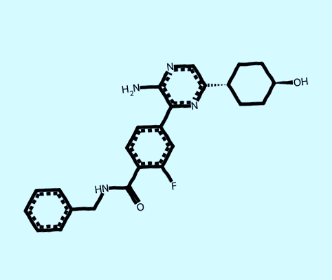 Nc1ncc([C@H]2CC[C@H](O)CC2)nc1-c1ccc(C(=O)NCc2ccccc2)c(F)c1